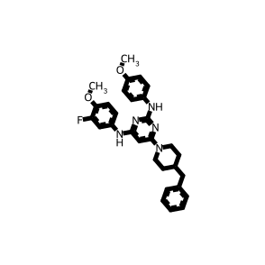 COc1ccc(Nc2nc(Nc3ccc(OC)c(F)c3)cc(N3CCC(Cc4ccccc4)CC3)n2)cc1